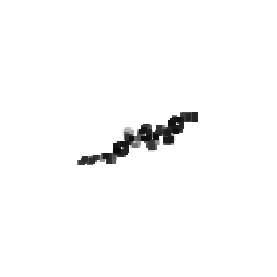 CCCCCCOc1ccc(C(=O)OC2COC3C(OC(=O)c4ccc(O)cc4)COC23)cc1